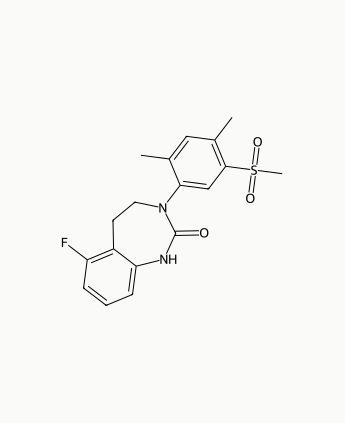 Cc1cc(C)c(S(C)(=O)=O)cc1N1CCc2c(F)cccc2NC1=O